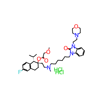 COCC(=O)O[C@]1(CCN(C)CCCCCCn2c(=O)n(CCN3CCOCC3)c3ccccc32)CCc2cc(F)ccc2[C@@H]1C(C)C.Cl.Cl